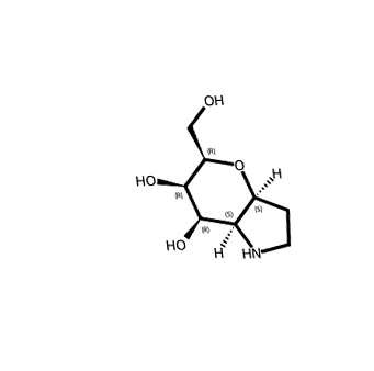 OC[C@H]1O[C@H]2CCN[C@H]2[C@@H](O)[C@H]1O